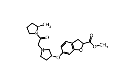 COC(=O)C1Cc2ccc(O[C@H]3CCN(CC(=O)N4CCC[C@H]4C)C3)cc2O1